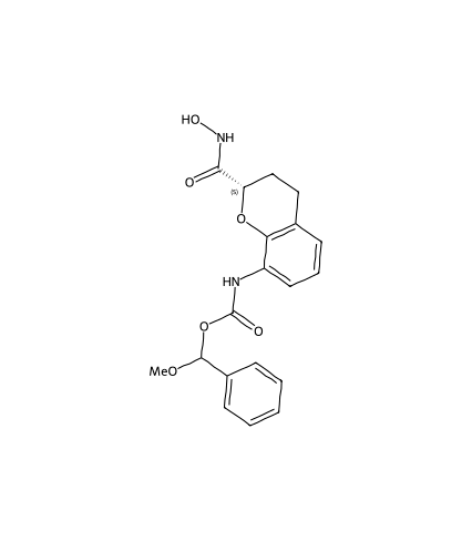 COC(OC(=O)Nc1cccc2c1O[C@H](C(=O)NO)CC2)c1ccccc1